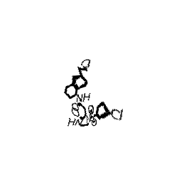 O=CCc1ccc2c(c1)CCC[C@H]2NC(=O)CC1C(=O)NCCN1S(=O)(=O)c1ccc(Cl)cc1